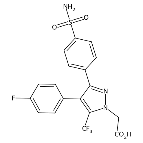 NS(=O)(=O)c1ccc(-c2nn(CC(=O)O)c(C(F)(F)F)c2-c2ccc(F)cc2)cc1